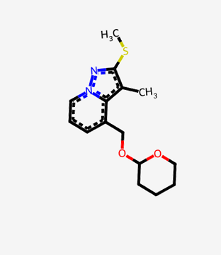 CSc1nn2cccc(COC3CCCCO3)c2c1C